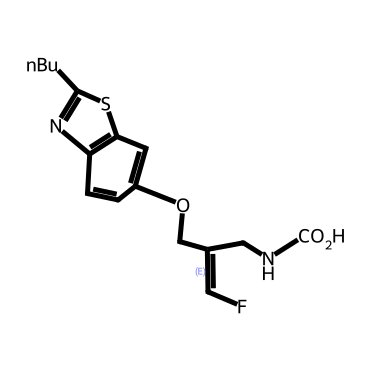 CCCCc1nc2ccc(OC/C(=C/F)CNC(=O)O)cc2s1